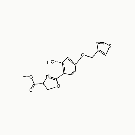 COC(=O)C1COC(c2ccc(OCc3ccsc3)cc2O)=N1